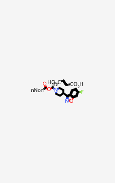 CCCCCCCCCC(=O)OC(C(C)C)N1CCC(c2noc3cc(F)ccc23)CC1.O=C(O)/C=C/C(=O)O